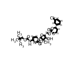 CC(C)(C)COC(=O)Nc1ccn([C@@H]2O[C@H](COP3(=O)OCC[C@@H](c4cccc(Cl)c4)O3)[C@@H](O)[C@@]2(C)O)c(=O)n1